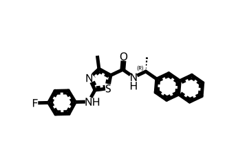 Cc1nc(Nc2ccc(F)cc2)sc1C(=O)N[C@H](C)c1ccc2ccccc2c1